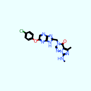 CNc1nc(C)c2c(=O)n(Cc3nc4ncc(Oc5ccc(Cl)cc5)nc4[nH]3)cnn12